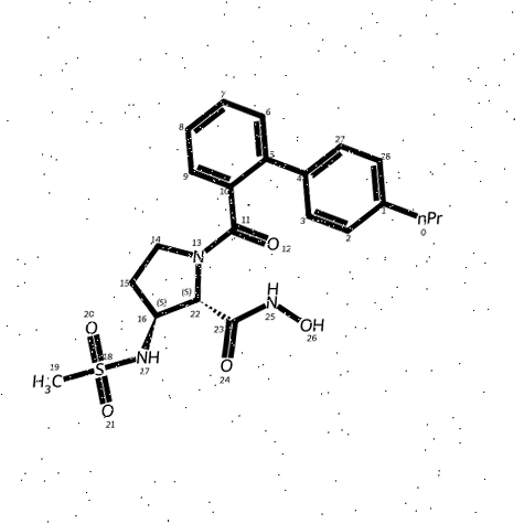 CCCc1ccc(-c2ccccc2C(=O)N2CC[C@H](NS(C)(=O)=O)[C@H]2C(=O)NO)cc1